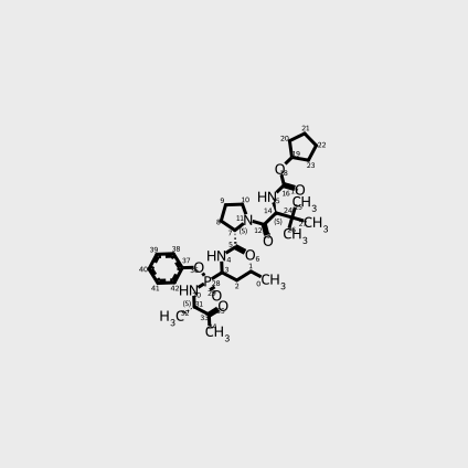 CCCC(NC(=O)[C@@H]1CCCN1C(=O)[C@@H](NC(=O)OC1CCCC1)C(C)(C)C)P(=O)(N[C@@H](C)C(C)=O)Oc1ccccc1